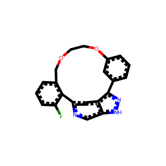 Fc1cccc2c1-c1cc3c(n[nH]c3cn1)-c1cccc(c1)OCCOC2